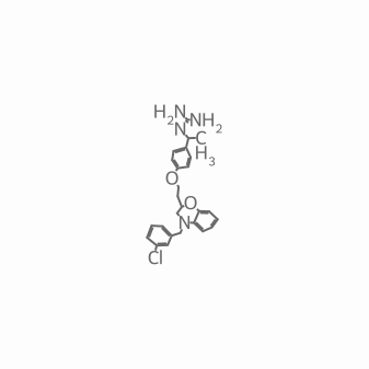 CC(N=C(N)N)c1ccc(OCCC2CN(Cc3cccc(Cl)c3)c3ccccc3O2)cc1